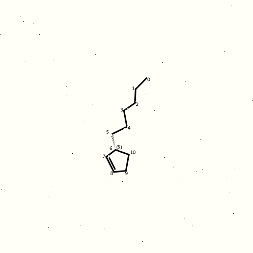 CCCCCC[C@H]1C=CCC1